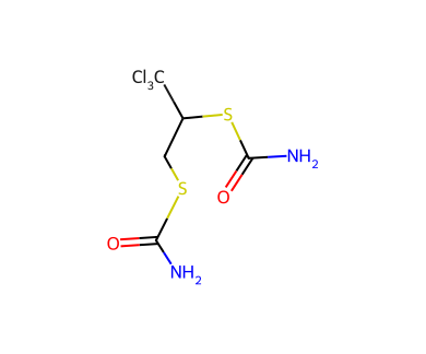 NC(=O)SCC(SC(N)=O)C(Cl)(Cl)Cl